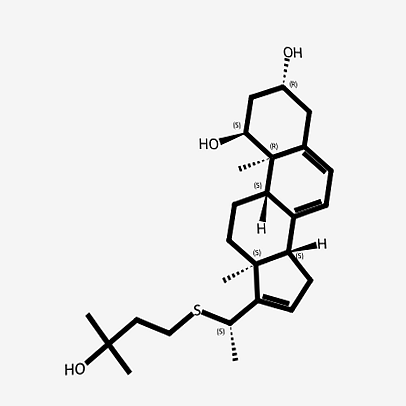 C[C@H](SCCC(C)(C)O)C1=CC[C@H]2C3=CC=C4C[C@@H](O)C[C@H](O)[C@]4(C)[C@H]3CC[C@]12C